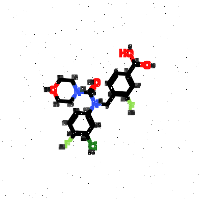 O=C(O)c1ccc(CN(C(=O)N2CCOCC2)c2ccc(F)c(Cl)c2)c(F)c1